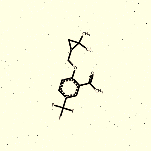 CC(=O)c1cc(C(F)(F)F)ccc1OCC1CC1(C)C